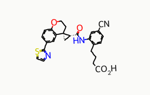 N#Cc1ccc(CCCC(=O)O)c(NC(=O)[C@@H]2C[C@]23CCOc2ccc(-c4nccs4)cc23)c1